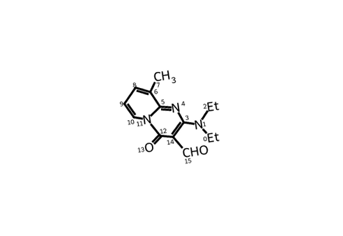 CCN(CC)c1nc2c(C)cccn2c(=O)c1C=O